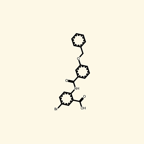 O=C(Nc1ccc(Br)cc1C(=O)O)c1cccc(OCc2ccccc2)c1